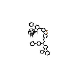 c1ccc(-c2ccc(C(CCc3ccc4sc5ccc(-c6ccc(-c7ccccc7)c([C@@H]7CCC8C[C@@H]9C[C@@H]7C[C@H]89)c6)cc5c4c3)c3ccc4c(c3)C3(CCCC3)c3ccccc3-4)cc2)cc1